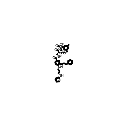 Cc1cc(C)c(S(=O)(=O)N[C@@H](CNC(=O)c2ccc3c(c2)c(CCc2ccccc2)nn3CCCNc2ccccn2)C(=O)OC(=O)C(F)(F)F)c(C)c1